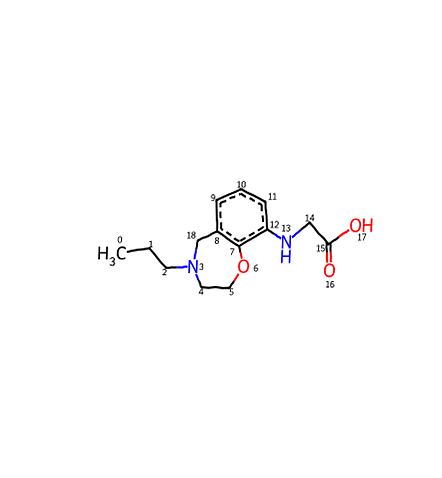 CCCN1CCOc2c(cccc2NCC(=O)O)C1